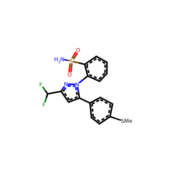 CSc1ccc(-c2cc(C(F)F)nn2-c2ccccc2S(N)(=O)=O)cc1